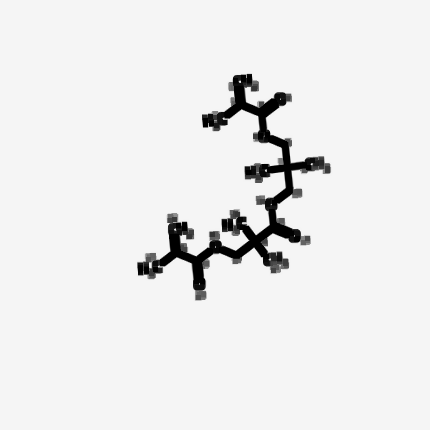 C=C(C)C(=O)OCC(C)(C)COC(=O)C(C)(C)COC(=O)C(=C)C